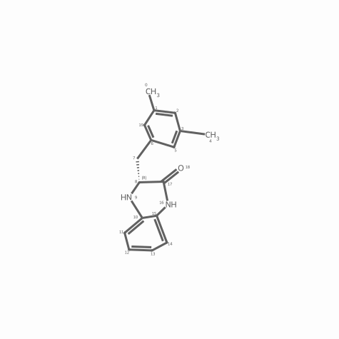 Cc1cc(C)cc(C[C@H]2Nc3ccccc3NC2=O)c1